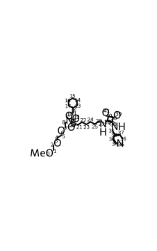 COCCOCCOCCN(OCC1CCCCC1)S(=O)(=O)CCCCCCNc1c(NCc2ccncc2)c(=O)c1=O